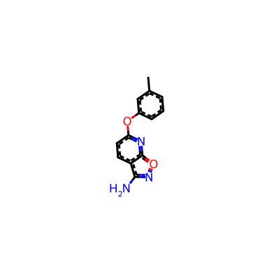 Cc1cccc(Oc2ccc3c(N)noc3n2)c1